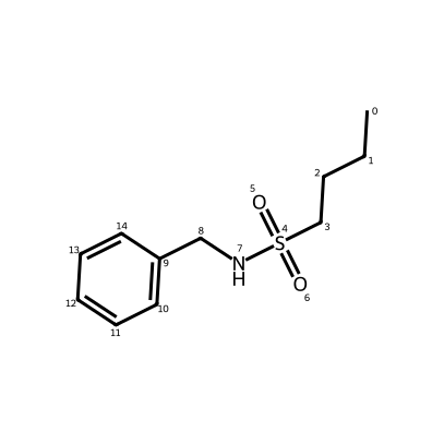 CCCCS(=O)(=O)NCc1ccccc1